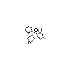 Cc1ccc(C(O)(c2ccccc2)c2ccncc2)cc1